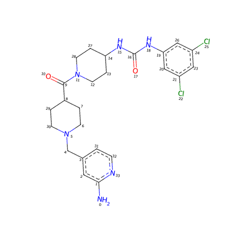 Nc1cc(CN2CCC(C(=O)N3CCC(NC(=O)Nc4cc(Cl)cc(Cl)c4)CC3)CC2)ccn1